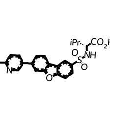 CC(C)[C@@H](NS(=O)(=O)c1ccc2oc3cc(-c4ccc(Cl)nc4)ccc3c2c1)C(=O)O